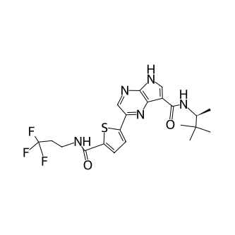 C[C@H](NC(=O)c1c[nH]c2ncc(-c3ccc(C(=O)NCCC(F)(F)F)s3)nc12)C(C)(C)C